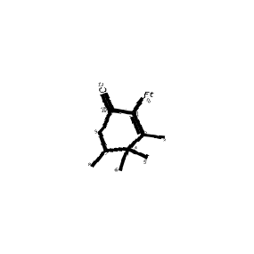 CCC1=C(C)C(C)(C)C(C)CC1=O